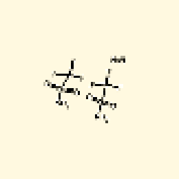 NS(=O)(=O)C(F)(F)F.NS(=O)(=O)C(F)(F)F.[NaH]